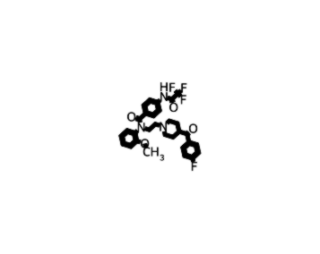 COc1ccccc1N(CCN1CCC(C(=O)c2ccc(F)cc2)CC1)C(=O)c1ccc(NC(=O)C(F)(F)F)cc1